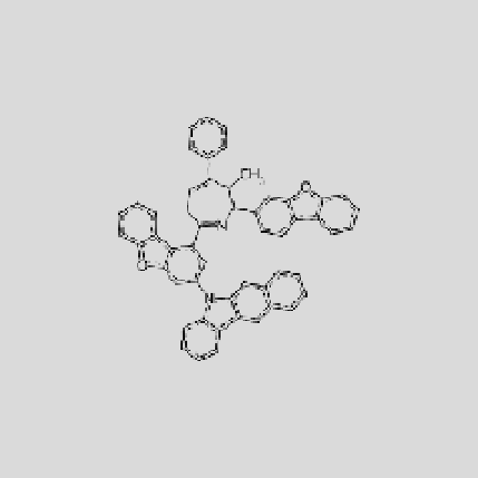 CC1C(c2ccccc2)=CCC(c2cc(-n3c4ccccc4c4cc5ccccc5cc43)cc3oc4ccccc4c23)=NC1c1ccc2c(c1)oc1ccccc12